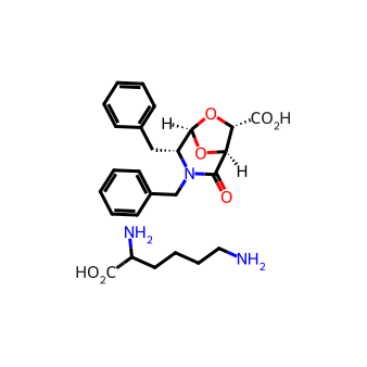 NCCCCC(N)C(=O)O.O=C(O)[C@H]1O[C@H]2O[C@@H]1C(=O)N(Cc1ccccc1)[C@@H]2Cc1ccccc1